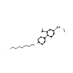 CCCCCCCCOc1ccc(-c2ccc(C3O[C@H]3CC)cc2C(=O)O)cc1